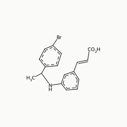 CC(Nc1cccc(C=CC(=O)O)c1)c1ccc(Br)cc1